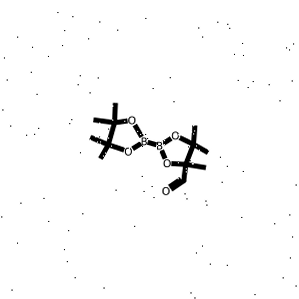 CC1(C)OB(B2OC(C)(C)C(C)(C=O)O2)OC1(C)C